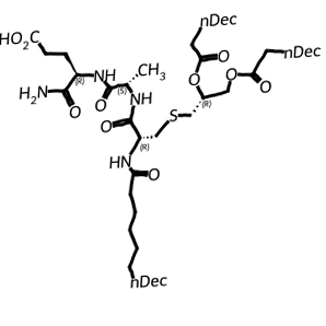 CCCCCCCCCCCCCCCC(=O)N[C@@H](CSC[C@@H](COC(=O)CCCCCCCCCCC)OC(=O)CCCCCCCCCCC)C(=O)N[C@@H](C)C(=O)N[C@H](CCC(=O)O)C(N)=O